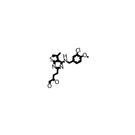 COc1ccc(CNc2nc(CCC(=O)C=O)nc3scc(C)c23)cc1Cl